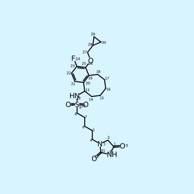 O=C1CN(CCCCCS(=O)(=O)NC2CCCCCc3c2ccc(F)c3OCC2CC2)C(=O)N1